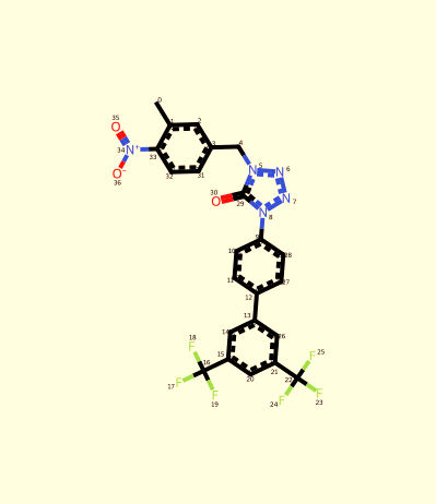 Cc1cc(Cn2nnn(-c3ccc(-c4cc(C(F)(F)F)cc(C(F)(F)F)c4)cc3)c2=O)ccc1[N+](=O)[O-]